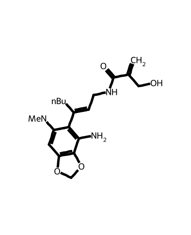 C=C(CO)C(=O)NC/C=C(\CCCC)c1c(NC)cc2c(c1N)OCO2